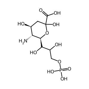 N[C@@H]1[C@@H](O)CC(O)(C(=O)O)O[C@H]1C(O)C(O)COP(=O)(O)O